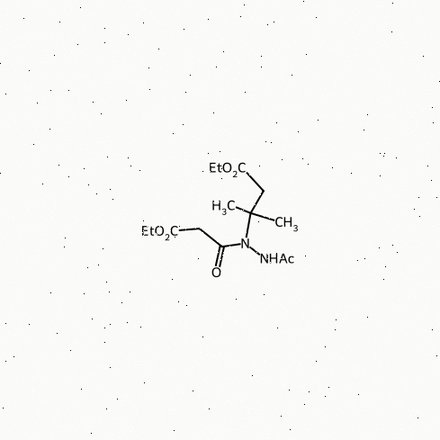 CCOC(=O)CC(=O)N(NC(C)=O)C(C)(C)CC(=O)OCC